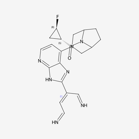 N=C/C=C(\C=N)c1nc2c(N3CC4CCC(C3)N4C(=O)[C@@H]3C[C@H]3F)ccnc2[nH]1